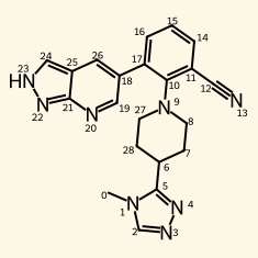 Cn1cnnc1C1CCN(c2c(C#N)cccc2-c2cnc3n[nH]cc3c2)CC1